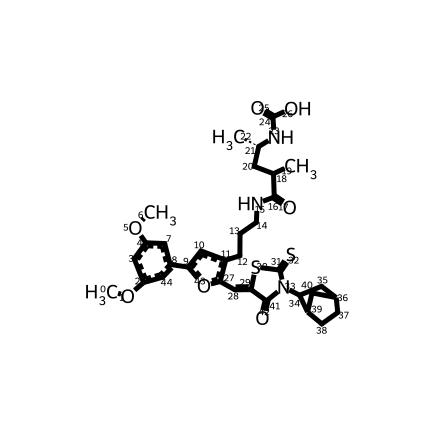 COc1cc(OC)cc(-c2cc(CCCNC(=O)C(C)C[C@H](C)NC(=O)O)c(C=C3SC(=S)N(C4CC5CCC4C5)C3=O)o2)c1